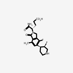 Cc1cc([C@@H]2CCNC[C@@H]2F)c(F)c2c1C(=O)N([C@@H](CCC(=O)O)C(N)=O)C2